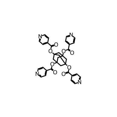 O=C(OC12CC3(OC(=O)c4ccncc4)CC(OC(=O)c4ccncc4)(C1)CC(OC(=O)c1ccncc1)(C2)C3)c1ccncc1